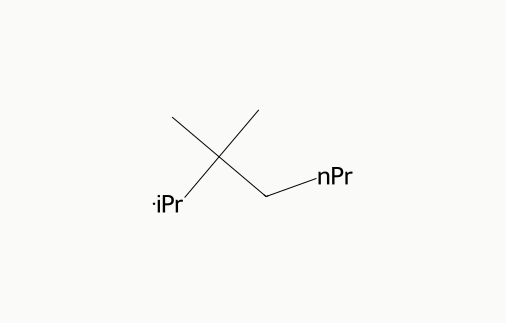 [CH2]CCCC(C)(C)[C](C)C